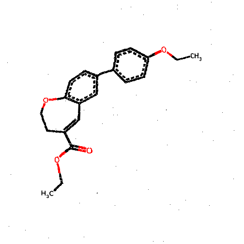 CCOC(=O)C1=Cc2cc(-c3ccc(OCC)cc3)ccc2OCC1